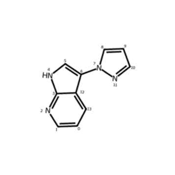 c1cnc2[nH]cc(-n3cccn3)c2c1